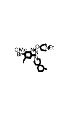 CCN1CCC(Oc2nc(N3CCC4(CCCC(C)C4)CC3)c3cc(I)c(Br)c(OC)c3n2)CC1